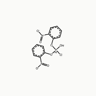 O=[N+]([O-])c1ccccc1O[PH](O)(Cl)Oc1ccccc1[N+](=O)[O-]